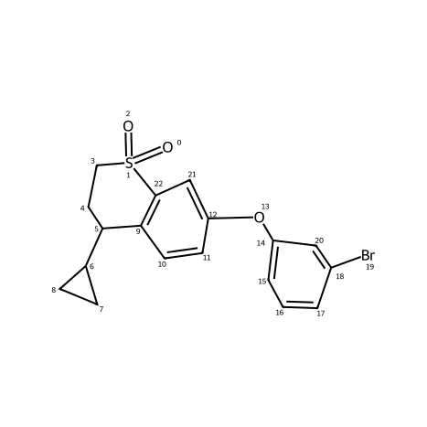 O=S1(=O)CCC(C2CC2)c2ccc(Oc3cccc(Br)c3)cc21